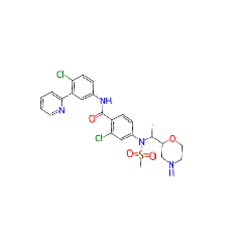 CC(C1CNCCO1)N(c1ccc(C(=O)Nc2ccc(Cl)c(-c3ccccn3)c2)c(Cl)c1)S(C)(=O)=O